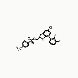 Cc1ccc(S(=O)(=O)OCC2Cc3cc(Cl)cc(-c4cccc(F)c4F)c3O2)cc1